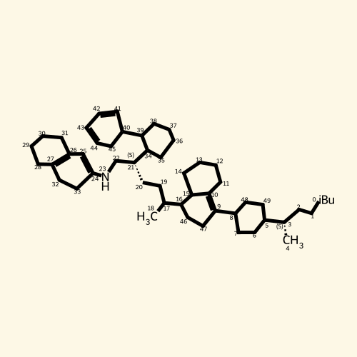 CCC(C)CC[C@H](C)C1CCC(C2=C3CCCCC3C(C(C)CC[C@H](CNC3=CC4=C(CCCC4)CC3)C3CCCCC3C3C=CC=CC3)CC2)CC1